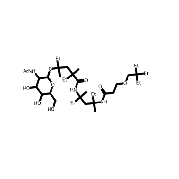 CCC(CC)(CC)COCCC(=O)NC(C)(CC)CC(C)(CC)NC(=O)C(C)(CC)CC(C)(CC)OC1OC(CO)C(O)C(O)C1NC(C)=O